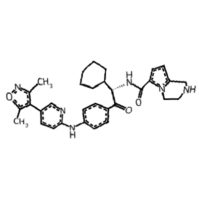 Cc1noc(C)c1-c1ccc(Nc2ccc(C(=O)[C@@H](NC(=O)c3ccc4n3CCNC4)C3CCCCC3)cc2)nc1